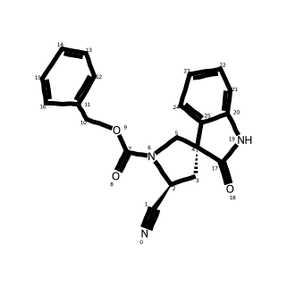 N#C[C@@H]1C[C@@]2(CN1C(=O)OCc1ccccc1)C(=O)Nc1ccccc12